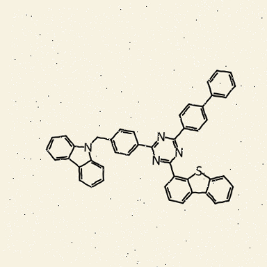 c1ccc(-c2ccc(-c3nc(-c4ccc(Cn5c6ccccc6c6ccccc65)cc4)nc(-c4cccc5c4sc4ccccc45)n3)cc2)cc1